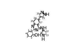 Oc1ccccc1-c1nc(N[C@H]2CCNC2)c2cc(-c3cn[nH]c3)ccc2n1